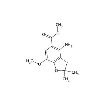 COC(=O)c1cc(OC)c2c(c1N)CC(C)(C)O2